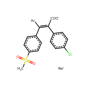 CC(=O)C(=C(C(=O)[O-])c1ccc(Cl)cc1)c1ccc(S(C)(=O)=O)cc1.[Na+]